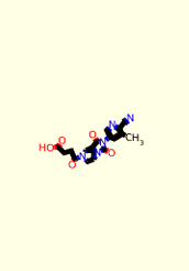 Cc1cc(N2C(=O)C3C4CC(CN4C(=O)CCC(=O)O)N3C2=O)cnc1C#N